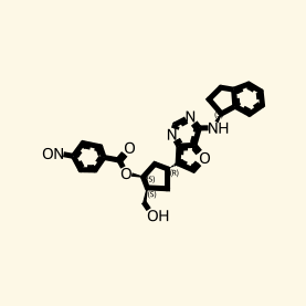 O=Nc1ccc(C(=O)O[C@H]2C[C@H](c3coc4c(N[C@H]5CCc6ccccc65)ncnc34)C[C@H]2CO)cc1